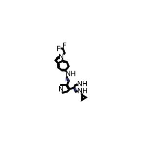 N=C/C(=C\NC1CC1)C1=C(/C=C/NC2=CC=c3ccn(CC(F)F)c3=CC2)C=NCC1